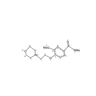 CNC(=O)c1ccc(OCCN2CCOCC2)c(OC)c1